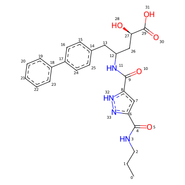 CCCNC(=O)c1cc(C(=O)NC(Cc2ccc(-c3ccccc3)cc2)C[C@@H](O)C(=O)O)[nH]n1